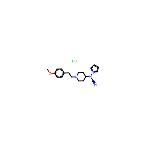 COc1ccc(CCN2CCC(N(C#N)n3cccc3)CC2)cc1.Cl